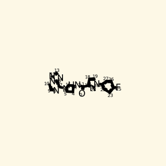 O=C(N[C@H]1CCN(c2nccn3ncnc23)C1)c1ccn(-c2ccc(F)cc2)n1